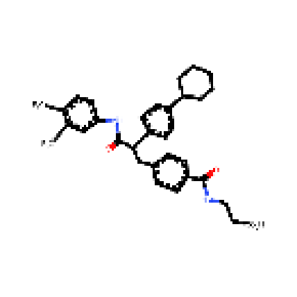 O=C(O)CCNC(=O)c1ccc(CC(C(=O)Nc2ccc(C(F)(F)F)c(C(F)(F)F)c2)c2ccc(C3CCCCC3)cc2)cc1